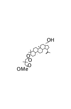 C=C(C)[C@@H]1CC[C@]2(CCO)CC[C@]3(C)C(CCC4[C@@]5(C)CC[C@H](OC(=O)CC(C)(C)CC(=O)OC)C(C)(C)C5CC[C@]43C)C12